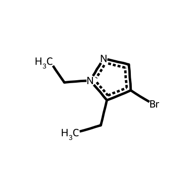 CCc1c(Br)cnn1CC